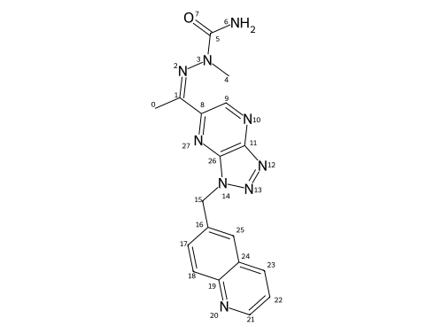 C/C(=N/N(C)C(N)=O)c1cnc2nnn(Cc3ccc4ncccc4c3)c2n1